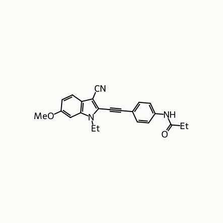 CCC(=O)Nc1ccc(C#Cc2c(C#N)c3ccc(OC)cc3n2CC)cc1